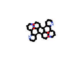 c1cncc(-c2ncccc2-c2c3ccccc3c(-c3cccnc3-c3cccnc3)c3ccccc23)c1